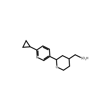 O=S(=O)(O)CC1CCOC(c2ccc(C3CC3)nc2)C1